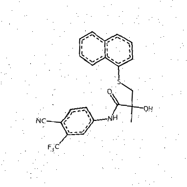 CC(O)(CSc1cccc2ccccc12)C(=O)Nc1ccc(C#N)c(C(F)(F)F)c1